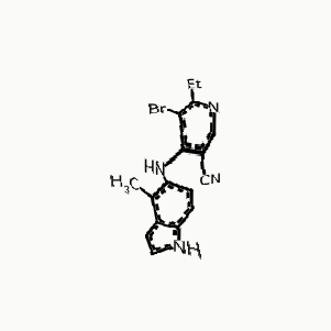 CCc1ncc(C#N)c(Nc2ccc3[nH]ccc3c2C)c1Br